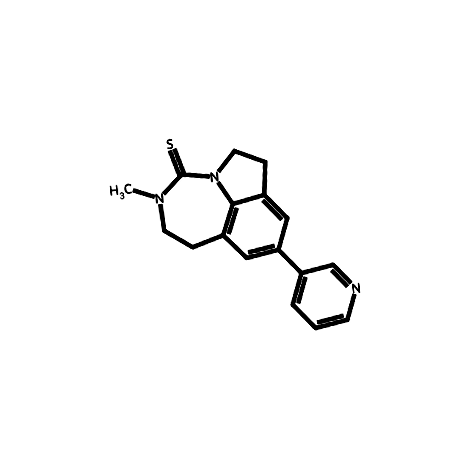 CN1CCc2cc(-c3cccnc3)cc3c2N(CC3)C1=S